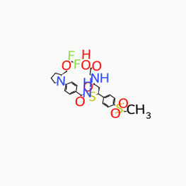 CCS(=O)(=O)c1ccc([C@H](CC(=O)NCC(=O)O)SNC(=O)c2ccc(N3CCC[C@H]3COC(F)F)cc2)cc1